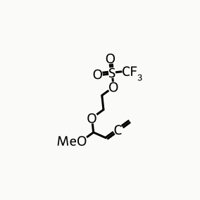 C=C=CC(OC)OCCOS(=O)(=O)C(F)(F)F